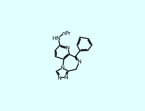 CCCNc1ccc2c(n1)C(c1ccccc1)=NCc1nncn1-2